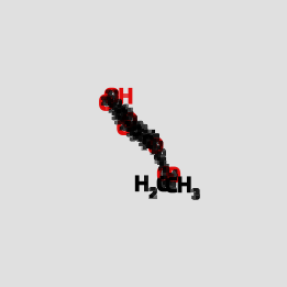 C=C(C)C(=O)OCCCCCCOc1ccc(-c2ccc(C(=O)Oc3ccc(CCC(=O)O)cc3)cc2)cc1